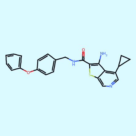 Nc1c(C(=O)NCc2ccc(Oc3ccccc3)cc2)sc2cncc(C3CC3)c12